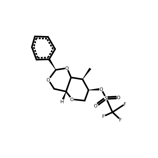 C[C@@H]1C2O[C@H](c3ccccc3)OC[C@H]2OC[C@@H]1OS(=O)(=O)C(F)(F)F